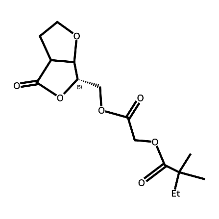 CCC(C)(C)C(=O)OCC(=O)OC[C@@H]1OC(=O)C2CCOC21